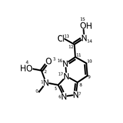 CN(C(=O)O)c1nnc2ccc(C(Cl)=NO)nn12